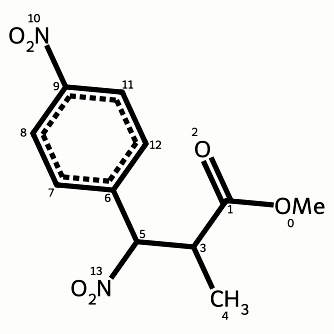 COC(=O)C(C)C(c1ccc([N+](=O)[O-])cc1)[N+](=O)[O-]